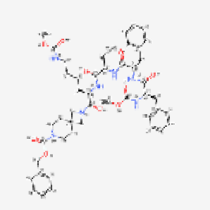 CC(C)C[C@@H](NC(=O)[C@@H](Cc1ccccc1)NC(=O)[C@@H](Cc1ccccc1)NC(=O)OC(C)(C)C)C(=O)N[C@H](CCCCNC(=O)OC(C)(C)C)C(=O)N1CC2(CCN(C(=O)OCc3ccccc3)CC2)C1